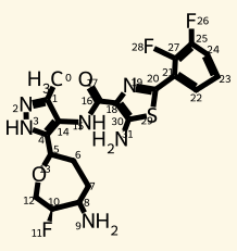 Cc1n[nH]c(C2CCC(N)[C@@H](F)CO2)c1NC(=O)c1nc(-c2cccc(F)c2F)sc1N